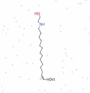 CCCCCCCC/C=C\CCCCCCCCCCCCNCCO